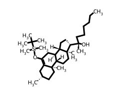 CCCCCC[C@](C)(O)[C@H]1CC[C@H]2[C@@H]3CC(O[Si](C)(C)C(C)(C)C)=C4C[C@@H](C)CC[C@]4(C)[C@H]3CC[C@@]21C